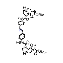 COC(=O)N[C@H]1CC[C@H]2CC[C@@H](C(=O)Nc3ccc(/C=C/c4ccc(NC(=O)[C@@H]5CC[C@@H]6CC[C@H](NC(=O)OC)C(=O)N65)cc4)cc3)N2C1=O